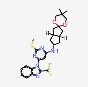 CSc1nc(N[C@H]2C[C@@H]3CC4(C[C@@H]3C2)OCC(C)(C)CO4)cc(-n2c(C(F)F)nc3ccccc32)n1